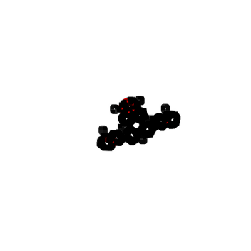 O=C1c2cc3c(cc2C2CCC1CC2)c1cc2oc4cc5c6cc7c(cc6n6c8cc9c(cc8c(c4c2c2c4cc8c(cc4n3c12)C(=O)C1CCC8CC1)c56)C1CCC(CC1)C9=O)C(=O)C1CCC7CC1